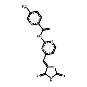 O=C1NC(=O)/C(=C/c2ccnc(NC(=O)c3ccc(C(F)(F)F)cn3)n2)S1